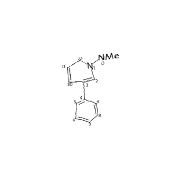 CNN1C=C(c2ccccc2)C=CC1